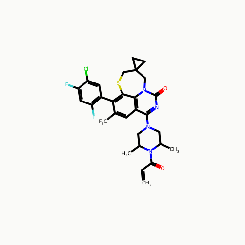 C=CC(=O)N1C(C)CN(c2nc(=O)n3c4c(c(-c5cc(Cl)c(F)cc5F)c(C(F)(F)F)cc24)SCC2(CC2)C3)CC1C